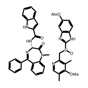 CN1C(=O)[C@@H](NC(=O)c2cc3ccccc3[nH]2)N=C(c2ccccc2)c2ccccc21.COc1ccc2[nH]c([S+]([O-])Cc3ncc(C)c(OC)c3C)nc2c1